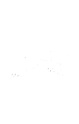 COc1cccc(C2([N+](=O)[O-])CCCCC2=O)c1